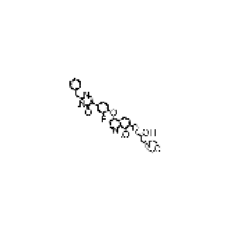 COc1c(OC[C@@H](O)CN2CCOCC2)ccc2c(Oc3ccc(-c4cnc(Cc5ccccc5)n(C)c4=O)cc3F)ccnc12